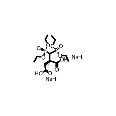 CCOP(=O)(OCC)C(/C(=C/C(=O)O)C(=O)O)P(=O)(OCC)OCC.[NaH].[NaH]